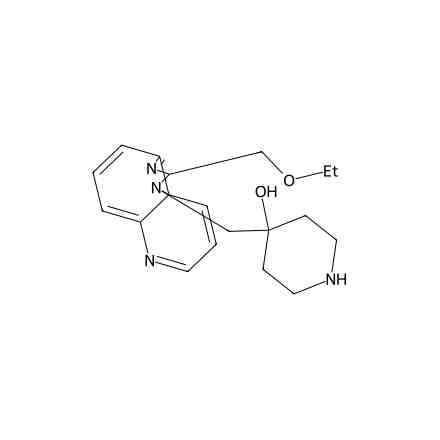 CCOCC1N=C2C=CC=C3N=CC=CC32N1CC1(O)CCNCC1